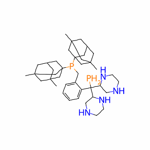 CC12CC3CC(C)(C1)CC(P(Cc1ccccc1C(P)(C1CNCCN1)C1CNCCN1)C14CC5CC(C)(CC(C)(C5)C1)C4)(C3)C2